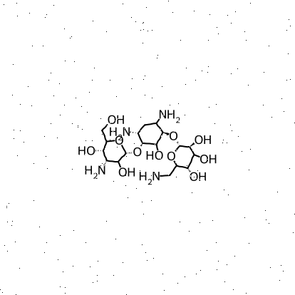 NCC1O[C@H](O[C@@H]2C(N)C[C@@H](N)[C@@H](O[C@H]3OC(CO)[C@@H](O)[C@@H](N)C3O)C2O)[C@@H](O)C(O)[C@@H]1O